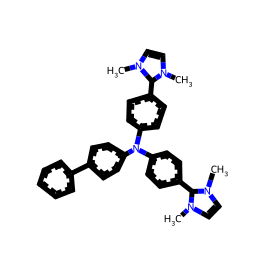 CN1C=CN(C)C1c1ccc(N(c2ccc(-c3ccccc3)cc2)c2ccc(C3N(C)C=CN3C)cc2)cc1